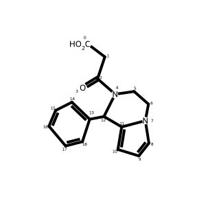 O=C(O)CC(=O)N1CCn2cccc2C1c1ccccc1